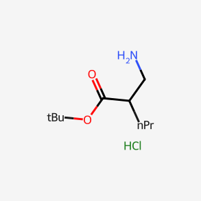 CCCC(CN)C(=O)OC(C)(C)C.Cl